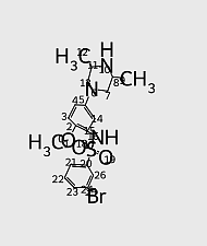 COc1ccc(N2CC(C)NC(C)C2)cc1NS(=O)(=O)c1cccc(Br)c1